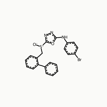 [O-][S+](Cc1ccccc1-c1ccccc1)c1nnc(Nc2ccc(Br)cc2)o1